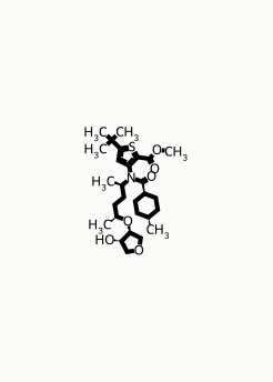 COC(=O)c1sc(C(C)(C)C)cc1N(C(=O)[C@H]1CC[C@H](C)CC1)[C@H](C)CC[C@@H](C)O[C@H]1COC[C@@H]1O